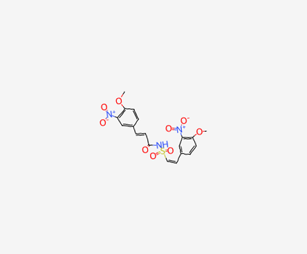 COc1ccc(/C=C\S(=O)(=O)NC(=O)/C=C/c2ccc(OC)c([N+](=O)[O-])c2)cc1[N+](=O)[O-]